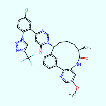 COc1cnc2c(c1)NC(=O)[C@H](C)CCC[C@H](n1cnc(-c3cc(Cl)ccc3-n3cc(C(F)(F)F)nn3)cc1=O)c1cccc-2c1